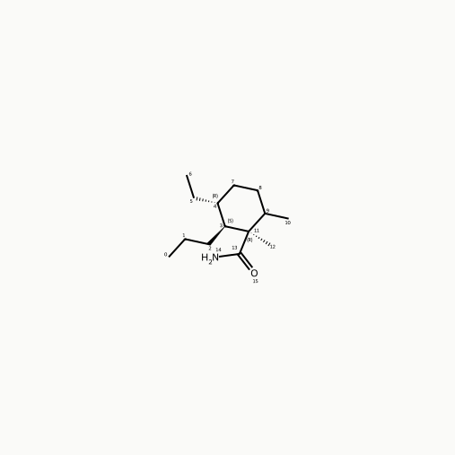 CCC[C@H]1[C@H](CC)CCC(C)[C@@]1(C)C(N)=O